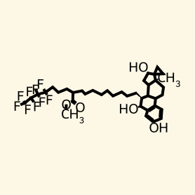 COC(=O)C(CCCCCCCCC[C@H]1C2C(CC[C@@]3(C)C2C[C@@H](O)C32CC2)c2ccc(O)cc2[C@H]1O)CCCC(F)(F)C(F)(F)C(F)(F)C(F)(F)F